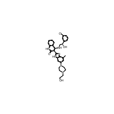 Cc1cc(N2CCN(CCO)CC2)cc2[nH]c(-c3c(NC[C@H](O)c4cccc(Cl)c4)c4ccccc4[nH]c3=O)nc12